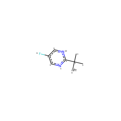 CCCC(C)(C)c1ncc(F)cn1